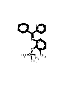 Cc1cccc(N=C(c2ccccc2)c2ccccn2)c1O[Si](C)(C)C